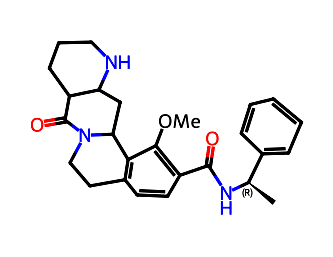 COc1c(C(=O)N[C@H](C)c2ccccc2)ccc2c1C1CC3NCCCC3C(=O)N1CC2